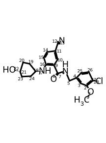 COc1cc(CNC(=O)c2cc(C#N)ccc2N[C@H]2CC[C@@H](O)CC2)ccc1Cl